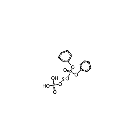 O=P(O)(O)OSOP(=O)(Oc1ccccc1)Oc1ccccc1